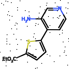 CCOC(=O)c1ccc(-c2ccncc2N)s1